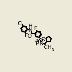 CC(NS(=O)(=O)c1ccc(F)c(C(=O)Nc2cc(Cl)ccc2F)c1)C1CCCC1